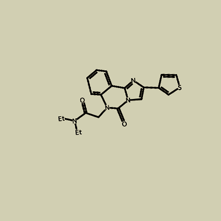 CCN(CC)C(=O)Cn1c(=O)n2cc(-c3ccsc3)nc2c2ccccc21